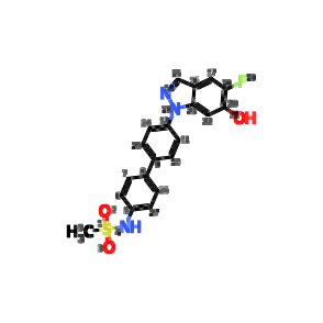 CS(=O)(=O)Nc1ccc(-c2ccc(-n3ncc4cc(F)c(O)cc43)cc2)cc1